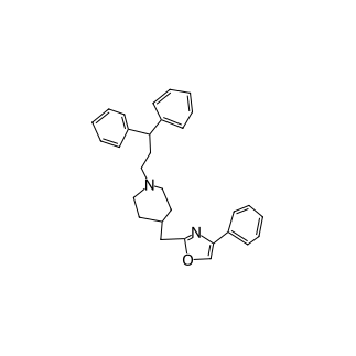 c1ccc(-c2coc(CC3CCN(CCC(c4ccccc4)c4ccccc4)CC3)n2)cc1